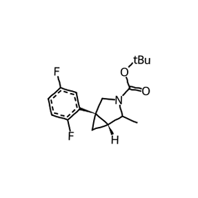 CC1[C@@H]2C[C@]2(c2cc(F)ccc2F)CN1C(=O)OC(C)(C)C